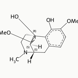 COc1ccc2c(c1O)[C@@]13CCN(C)[C@@H](C2)[C@H]1CC(OC)C(O)C3